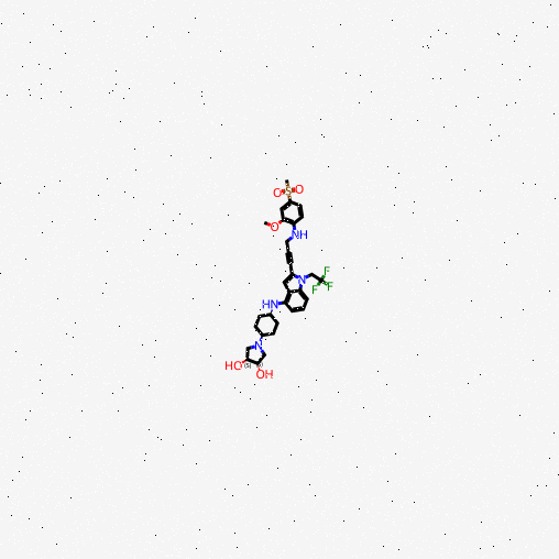 COc1cc(S(C)(=O)=O)ccc1NCC#Cc1cc2c(N[C@H]3CC[C@H](N4C[C@H](O)[C@@H](O)C4)CC3)cccc2n1CC(F)(F)F